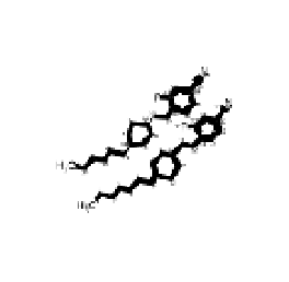 CCCCCCCC1CCC(CCc2ccc(C#N)cc2F)CC1.CCCCCC[C@H]1CC[C@H](CCc2ccc(C#N)cc2F)CC1